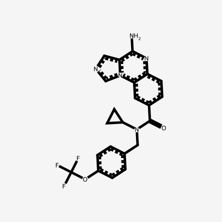 Nc1nc2ccc(C(=O)N(Cc3ccc(OC(F)(F)F)cc3)C3CC3)cc2n2cncc12